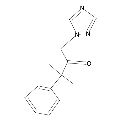 CC(C)(C(=O)Cn1cncn1)c1ccccc1